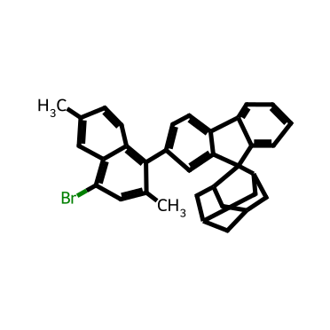 Cc1ccc2c(-c3ccc4c(c3)C3(c5ccccc5-4)C4CC5CC(C4)CC3C5)c(C)cc(Br)c2c1